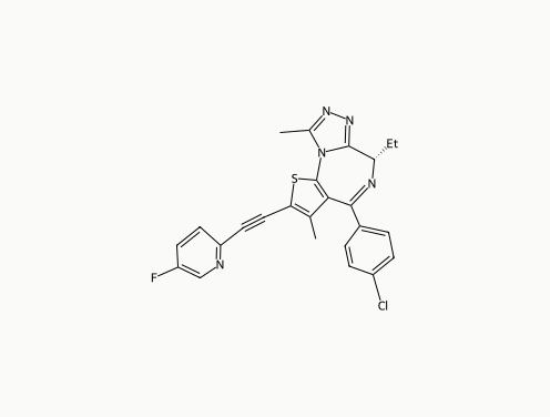 CC[C@@H]1N=C(c2ccc(Cl)cc2)c2c(sc(C#Cc3ccc(F)cn3)c2C)-n2c(C)nnc21